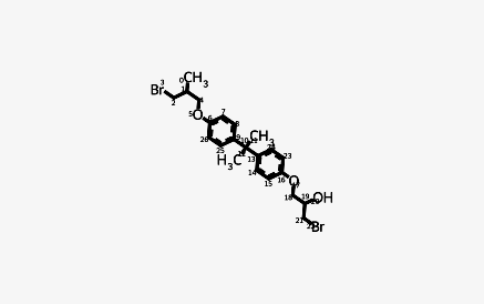 CC(CBr)COc1ccc(C(C)(C)c2ccc(OCC(O)CBr)cc2)cc1